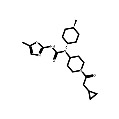 Cc1cnc(NC(=O)N(C2CCN(C(=O)CC3CC3)CC2)[C@H]2CC[C@H](C)CC2)s1